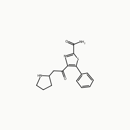 NC(=O)c1nc(C(=O)[CH]C2CCCN2)c(-c2ccccc2)s1